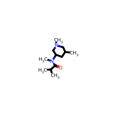 CC1CC(N(C)C(=O)C(C)C)CN(C)C1